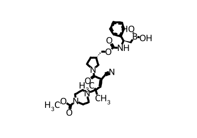 COC(=O)N1CCN(C(C)(C)C=C(C#N)C(=O)N2CC[C@H](COC(=O)N[C@H](CB(O)O)c3ccccc3)C2)CC1